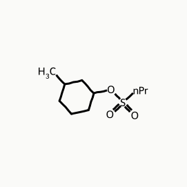 CCCS(=O)(=O)OC1CCCC(C)C1